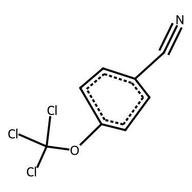 N#Cc1ccc(OC(Cl)(Cl)Cl)cc1